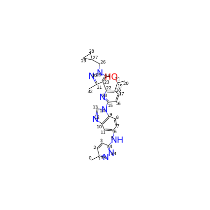 Cc1ccc(Nc2ccc3c(c2)ncn3-c2ccc(C(C)O)c(-c3cn(CC4CC4)nc3C)n2)nn1